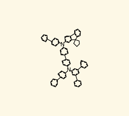 c1ccc(-c2ccc(N(c3ccc(-c4ccc(N(c5ccc(-c6ccccc6)cc5)c5ccc6c(c5)C5(CCCC5)c5ccccc5-6)cc4)cc3)c3cc(-c4ccccc4)cc(-c4ccccc4)c3)cc2)cc1